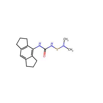 CN(C)SNC(=O)Nc1c2c(cc3c1CCC3)CCC2